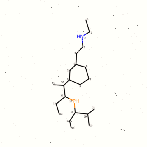 CCNCCC1CCCC(C(C)C(CC)PC(CC)C(C)C)C1